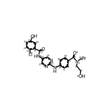 CC(C)N(CCO)C(=O)c1ccc(Nc2ncc(NC(=O)c3cc(O)ccc3Cl)cn2)cc1